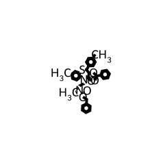 Cc1ccc(C2Sc3cc(C)ccc3N(CCN(C)C(=O)OCc3ccccc3)C(=O)C2OC(=O)c2ccccc2)cc1